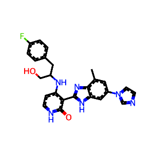 Cc1cc(-n2ccnc2)cc2[nH]c(-c3c(NC(CO)Cc4ccc(F)cc4)cc[nH]c3=O)nc12